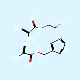 C=C(C)C(=O)OCCO.C=C(C)C(=O)OCc1ccccc1